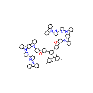 Cc1cc(C)c(B(c2cc(-c3ccc4c(c3)oc3ccc(-n5c6ccccc6c6cc7c8ccccc8n(-c8cccc(-c9cccc(-n%10c%11ccccc%11c%11ccccc%11%10)n9)n8)c7cc65)cc34)cc(-c3ccc4c(c3)oc3ccc(-n5c6ccccc6c6cc7c8ccccc8n(-c8cccc(-c9cccc(-n%10c%11ccccc%11c%11ccccc%11%10)n9)n8)c7cc65)cc34)c2)c2c(C)cc(C)cc2C)c(C)c1